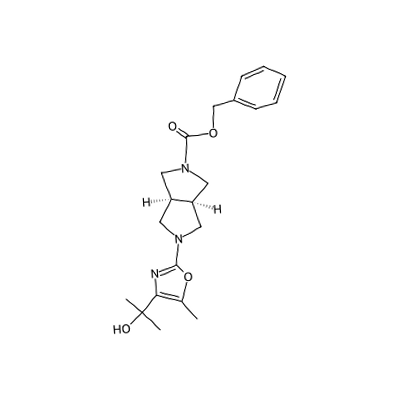 Cc1oc(N2C[C@H]3CN(C(=O)OCc4ccccc4)C[C@H]3C2)nc1C(C)(C)O